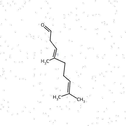 CC(C)=CCC/C(C)=C/CC=O